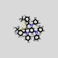 CC(C)(C)c1cccc2c3c(sc12)B1c2sc4c(C(C)(C)C)cccc4c2N(c2ccccc2)c2cc(N(c4ccccc4)c4ccccc4)cc(c21)N3c1ccccc1